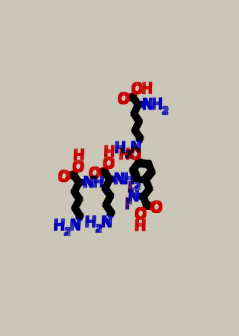 NCCCCC(N)C(=O)O.NCCCCC(N)C(=O)O.NCCCCC(N)C(=O)O.O=C(O)C(Cc1ccc(O)cc1)N(I)I